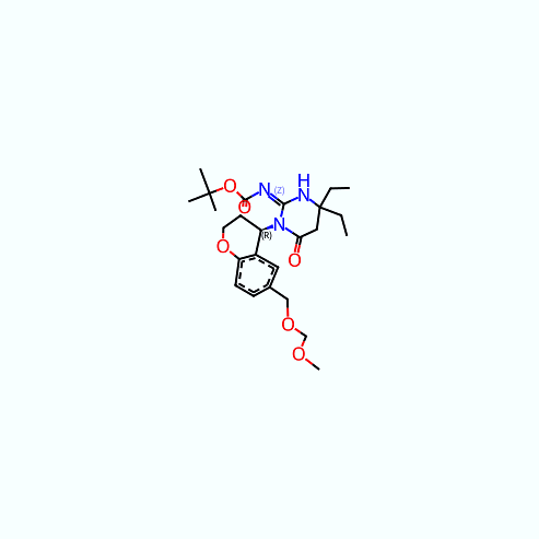 CCC1(CC)CC(=O)N([C@@H]2CCOc3ccc(COCOC)cc32)/C(=N\C(=O)OC(C)(C)C)N1